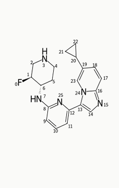 F[C@H]1CNCC[C@@H]1Nc1cccc(-c2cnc3ccc(C4CC4)cn23)n1